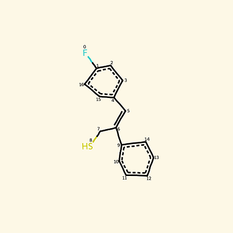 Fc1ccc(C=C(CS)c2ccccc2)cc1